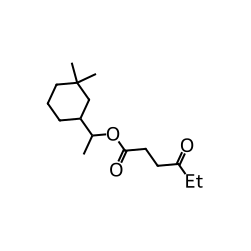 CCC(=O)CCC(=O)OC(C)C1CCCC(C)(C)C1